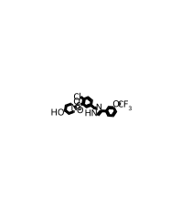 O=S(=O)(c1cc(-c2nc(-c3cccc(OC(F)(F)F)c3)c[nH]2)ccc1Cl)N1CCC(O)CC1